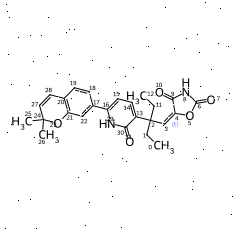 CCC(/C=C1/OC(=O)NC1=O)(CC)c1ccc(-c2ccc3c(c2)OC(C)(C)C=C3)[nH]c1=O